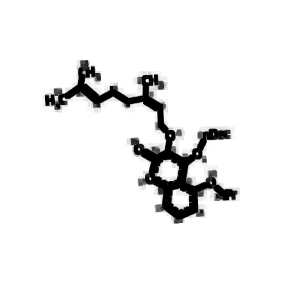 CCCCCCCCCCOc1c(OCC=C(C)CCC=C(C)C)c(=O)oc2cccc(OC(C)C)c12